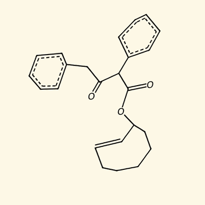 O=C(Cc1ccccc1)C(C(=O)OC1/C=C/CCCCC1)c1ccccc1